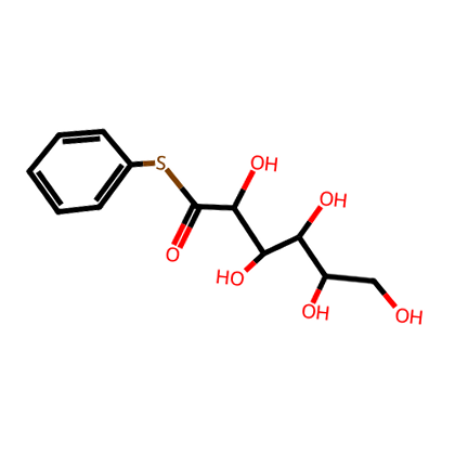 O=C(Sc1ccccc1)C(O)C(O)C(O)C(O)CO